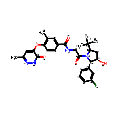 Cc1cc(Oc2ccc(C(=O)NCC(=O)N3C(C(C)(C)C#N)C[C@@H](O)[C@H]3c3cccc(F)c3)cc2C)c(=O)[nH]n1